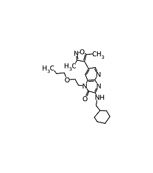 CCCOCCn1c(=O)c(NCC2CCCCC2)nc2ncc(-c3c(C)noc3C)cc21